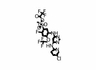 CN(OC(=O)C(F)(F)F)S(=O)(=O)c1cc(Nc2cc(Nc3ccc(Cl)cn3)ncn2)c(OCC(F)(F)F)cc1F